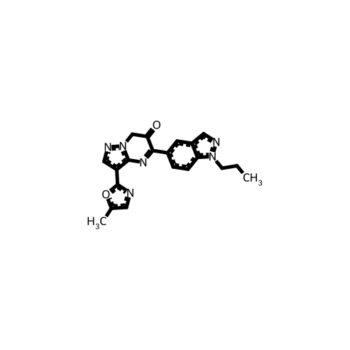 CCCn1ncc2cc(C3=Nc4c(-c5ncc(C)o5)cnn4CC3=O)ccc21